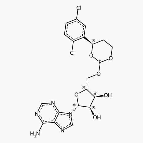 Nc1ncnc2c1ncn2[C@@H]1O[C@H](COP2OCC[C@H](c3cc(Cl)ccc3Cl)O2)[C@@H](O)[C@H]1O